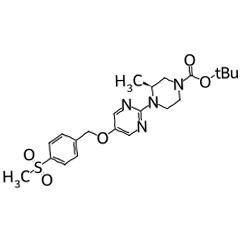 C[C@H]1CN(C(=O)OC(C)(C)C)CCN1c1ncc(OCc2ccc(S(C)(=O)=O)cc2)cn1